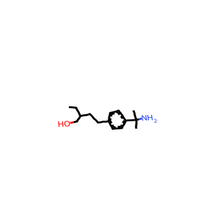 CCC(CO)CCc1ccc(C(C)(C)N)cc1